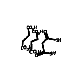 O=C(O)CCC(=O)O.O=C(O)CCC(=O)O.O=C(S)CC(=O)S